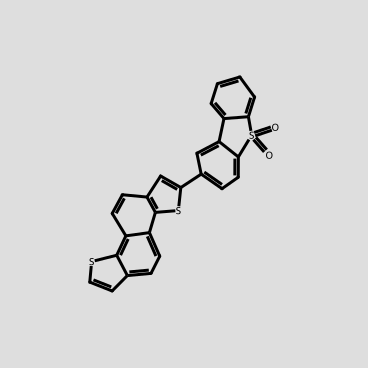 O=S1(=O)c2ccccc2-c2cc(-c3cc4ccc5c(ccc6ccsc65)c4s3)ccc21